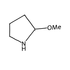 CO[C]1CCCN1